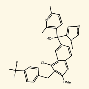 COc1nc2ccc(C(O)(c3ccc(C)nc3C)c3cncn3C)cc2c(Cl)c1Cc1ccc(C(C)(F)F)cc1